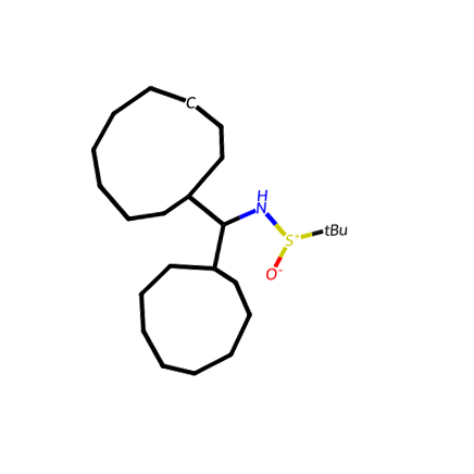 CC(C)(C)[S+]([O-])NC(C1CCCCCCCCC1)C1CCCCCCCC1